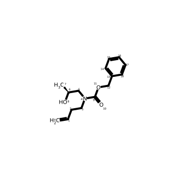 C=CCCN(C[C@H](C)O)C(=O)OCc1ccccc1